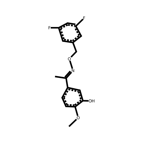 COc1ccc(/C(C)=N/OCc2cc(F)cc(F)c2)cc1O